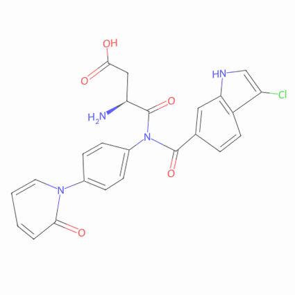 N[C@@H](CC(=O)O)C(=O)N(C(=O)c1ccc2c(Cl)c[nH]c2c1)c1ccc(-n2ccccc2=O)cc1